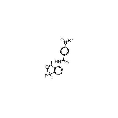 CC(=O)c1c(NC(=O)c2ccc([N+](=O)[O-])cc2)cccc1C(F)(F)F